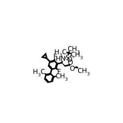 CCOC(=O)C[C@H](N[S@+]([O-])C(C)(C)C)c1c(F)c(-c2c(C)cccc2C)cc(C2CC2)c1F